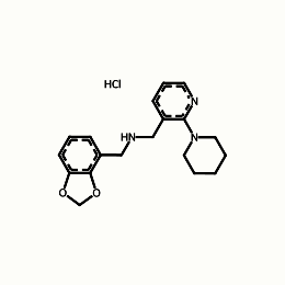 Cl.c1cnc(N2CCCCC2)c(CNCc2cccc3c2OCO3)c1